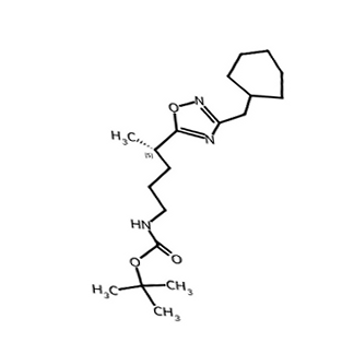 C[C@@H](CCCNC(=O)OC(C)(C)C)c1nc(CC2CCCCC2)no1